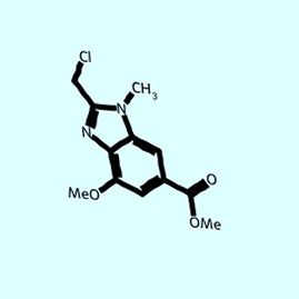 COC(=O)c1cc(OC)c2nc(CCl)n(C)c2c1